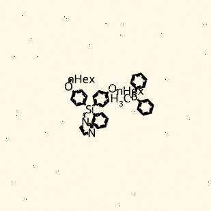 CB(c1ccccc1)c1ccccc1.CCCCCCOc1ccc([Si](Cn2ccnc2)(c2ccccc2)c2ccc(OCCCCCC)cc2)cc1